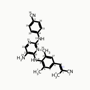 C/C(C#N)=C\c1cc(C)c(Nc2nc(Nc3ccc(C#N)cc3)ncc2N)c(C)c1